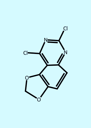 Clc1nc(Cl)c2c3c(ccc2n1)OCO3